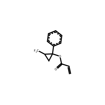 C=CC(=O)OC1(c2ccccc2)CC1C(F)(F)F